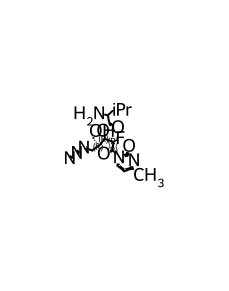 Cc1ccn([C@@H]2O[C@@](CO)(CN=[N+]=[N-])[C@@H](OC(=O)C(N)C(C)C)[C@H]2F)c(=O)n1